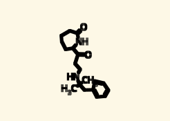 CC(C)(Cc1ccccc1)NCCC(=O)C1CCCCC(=O)N1